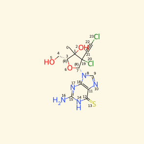 CC1(O)[C@@H](CO)O[C@@H](n2cnc3c(=S)[nH]c(N)nc32)C1(Cl)C#CCl